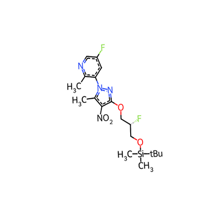 Cc1ncc(F)cc1-n1nc(OC[C@H](F)CO[Si](C)(C)C(C)(C)C)c([N+](=O)[O-])c1C